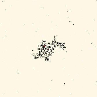 C#CCCC(=O)N[C@@H](Cc1c[nH]c2ccccc12)C(=O)N[C@H](C(=O)N[C@@H](Cc1ccccc1)C(=O)N1CCC[C@H]1C(=O)N[C@@H](Cc1c[nH]c2ccccc12)C(=O)N[C@H](C(=O)N[C@@H](CCC(N)=O)C(=O)N[C@@H](CC(C)C)C(=O)O)C(C)CC)C(C)CC